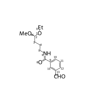 CCOC(CCCNC(=O)c1cccc(C=O)c1)OC